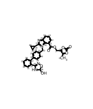 Cc1oc(=O)oc1COC(=O)c1cccc2nc(C3CC3)n(Cc3ccc(-c4ccccc4C4=NOC(O)N4)cc3)c12